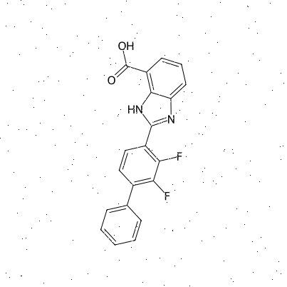 O=C(O)c1cccc2nc(-c3ccc(-c4ccccc4)c(F)c3F)[nH]c12